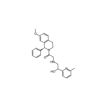 COc1ccc2c(c1)[C@H](c1ccccc1)N(C(=O)CNCC(O)c1cccc(C)n1)CC2